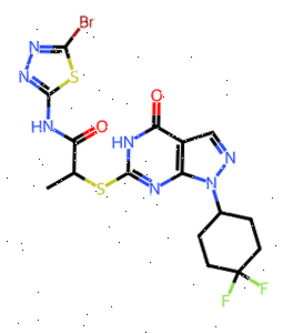 CC(Sc1nc2c(cnn2C2CCC(F)(F)CC2)c(=O)[nH]1)C(=O)Nc1nnc(Br)s1